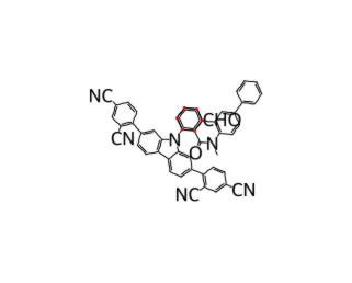 CN(C(=O)c1c(C=O)cccc1-n1c2cc(-c3ccc(C#N)cc3C#N)ccc2c2ccc(-c3ccc(C#N)cc3C#N)cc21)c1ccc(-c2ccccc2)cc1-c1ccccc1